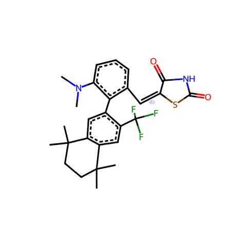 CN(C)c1cccc(/C=C2/SC(=O)NC2=O)c1-c1cc2c(cc1C(F)(F)F)C(C)(C)CCC2(C)C